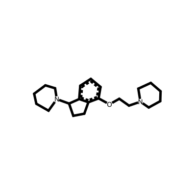 c1cc(OCCN2CCCCC2)c2c(c1)C(N1CCCCC1)CC2